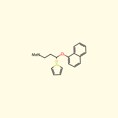 CNCCC(Oc1cccc2ccccc12)[SH]1C=CC=C1